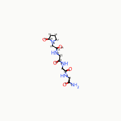 NC(=O)CNC(=O)CNC(=O)CNC(=O)CN1CCCC1=O